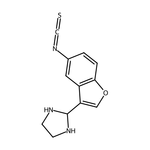 S=C=Nc1ccc2occ(C3NCCN3)c2c1